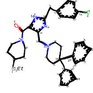 CCOC(=O)C1CCN(C(=O)c2[nH]c(Cc3ccc(Cl)cc3)nc2CN2CCC(c3ccccc3)(c3ccccc3)CC2)CC1